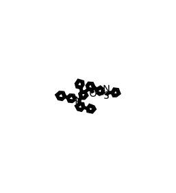 c1ccc(-c2ccc(N(c3cccc(-c4ccccc4)c3)c3ccc(-c4cccc5c4oc4cc6sc(-c7ccccc7)nc6cc45)c(-c4ccccc4)c3)cc2)cc1